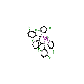 Fc1ccc(F)c(C(P)(c2cc(F)ccc2F)C2C3CCC(C3)C2C(P)(c2cc(F)ccc2F)c2cc(F)ccc2F)c1